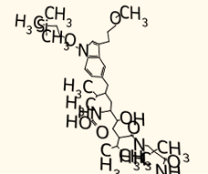 COCCCc1cn(COCC[Si](C)(C)C)c2ccc(CC(CC(NC(=O)O)C(O)CC(C(=O)NCC(C)(C)C(N)=O)C(C)C)C(C)C)cc12